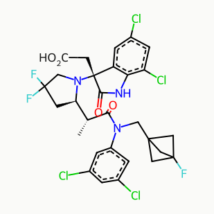 C[C@@H](C(=O)N(CC12CC(F)(C1)C2)c1cc(Cl)cc(Cl)c1)[C@H]1CC(F)(F)CN1[C@@]1(CC(=O)O)C(=O)Nc2c(Cl)cc(Cl)cc21